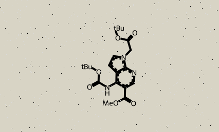 COC(=O)c1cnc2c(ccn2CC(=O)OC(C)(C)C)c1NC(=O)OC(C)(C)C